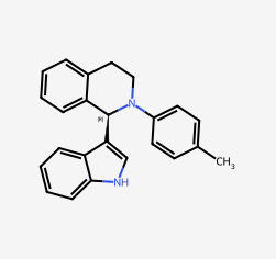 Cc1ccc(N2CCc3ccccc3[C@@H]2c2c[nH]c3ccccc23)cc1